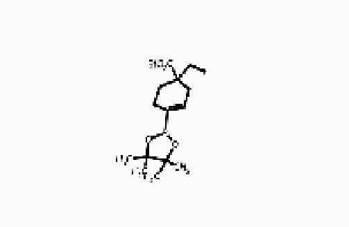 CCOC(=O)C1(CF)CC=C(B2OC(C)(C)C(C)(C)O2)CC1